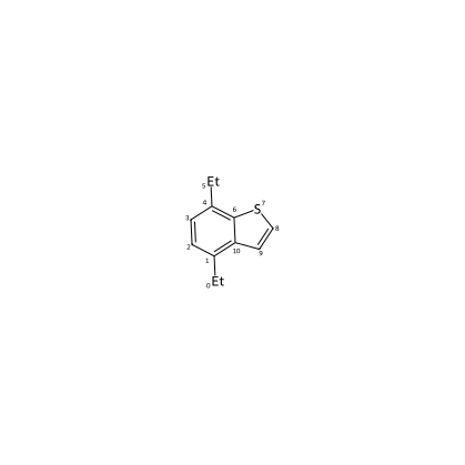 CCc1ccc(CC)c2sccc12